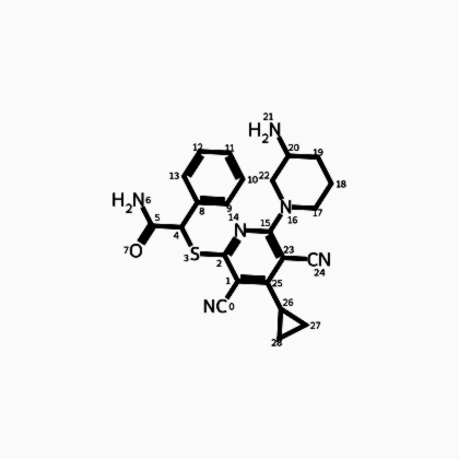 N#Cc1c(SC(C(N)=O)c2ccccc2)nc(N2CCCC(N)C2)c(C#N)c1C1CC1